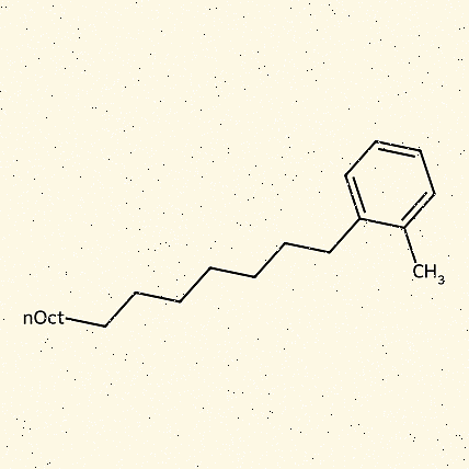 CCCCCCCCCCCCCCCc1ccccc1C